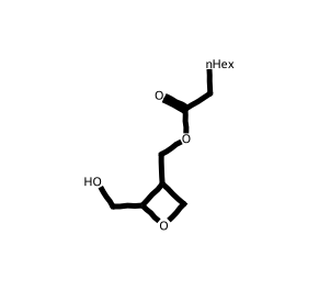 CCCCCCCC(=O)OCC1COC1CO